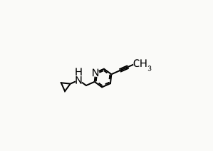 CC#Cc1ccc(CNC2CC2)nc1